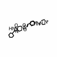 CN1CCN(NCc2ccc(/C=C/S(=O)(=O)N3CCC4(CC3)N=C(C3CCCCC3)NC4=O)cc2)CC1